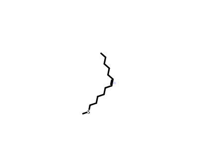 CCCCC/C=C\CCCCCSC